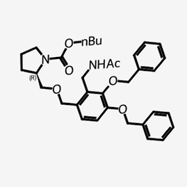 CCCCOC(=O)N1CCC[C@@H]1COCc1ccc(OCc2ccccc2)c(OCc2ccccc2)c1CNC(C)=O